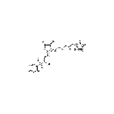 CN1C[C@H](C=CC(O)C(F)(F)c2ccccc2)N(CCCCSCc2nnn[nH]2)C1=O